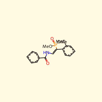 COc1ccccc1C(=CNC(=O)c1ccccc1)P(=O)(OC)OC